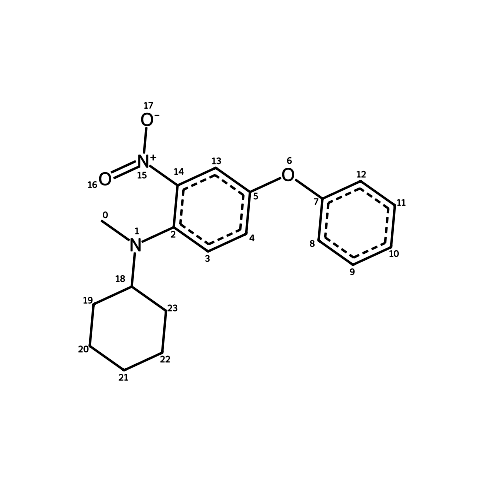 CN(c1ccc(Oc2ccccc2)cc1[N+](=O)[O-])C1CCCCC1